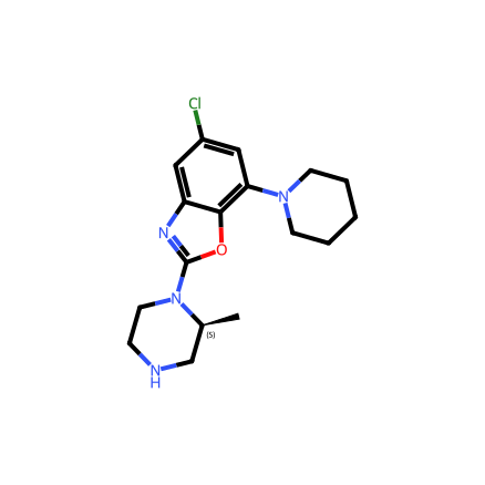 C[C@H]1CNCCN1c1nc2cc(Cl)cc(N3CCCCC3)c2o1